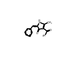 CC1=C(C(=O)C(C)C)C(=O)/C(=C\c2ccccc2)N1